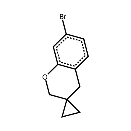 Brc1ccc2c(c1)OCC1(CC1)C2